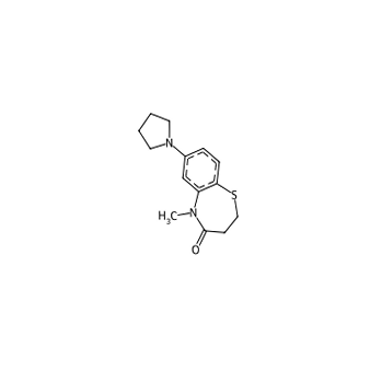 CN1C(=O)CCSc2ccc(N3CCCC3)cc21